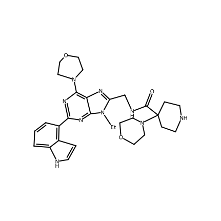 CCn1c(CNC(=O)C2(N3CCOCC3)CCNCC2)nc2c(N3CCOCC3)nc(-c3cccc4[nH]ccc34)nc21